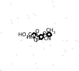 Cc1ccccc1Oc1cc(-n2c(=O)cc(C(=O)O)[nH]c2=O)c(F)cc1C#N